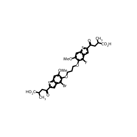 COc1cc2sc(C(=O)CC(C)C(=O)O)cc2c(F)c1OCCCOc1c(OC)cc2sc(C(=O)CC(C)C(=O)O)cc2c1Br